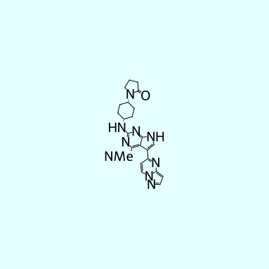 CNc1nc(N[C@H]2CC[C@@H](N3CCCC3=O)CC2)nc2[nH]cc(-c3ccn4nccc4n3)c12